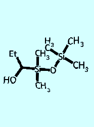 CCC(O)[Si](C)(C)O[Si](C)(C)C